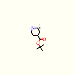 C[C@@H]1CC(C(=O)OC(C)(C)C)CCN1